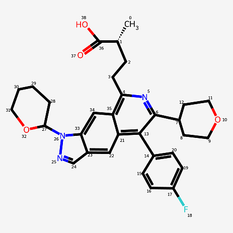 C[C@H](CCc1nc(C2CCOCC2)c(-c2ccc(F)cc2)c2cc3cnn(C4CCCCO4)c3cc12)C(=O)O